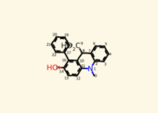 CN1c2ccccc2C(C(=O)O)c2c1ccc(O)c2-c1ccccc1